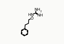 N=C(N)NOCCCc1ccccc1